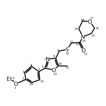 CCOc1ccc(-c2nc(CSCC(=O)N3CCOCC3)c(C)o2)cc1